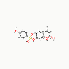 COc1ccc(S(=O)(=O)OC2C=c3oc(=O)cc(C)c3=CC2)cc1